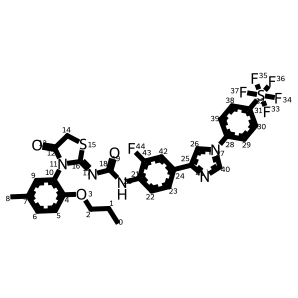 CCCOc1ccc(C)cc1N1C(=O)CSC1=NC(=O)Nc1ccc(-c2cn(-c3ccc(S(F)(F)(F)(F)F)cc3)cn2)cc1F